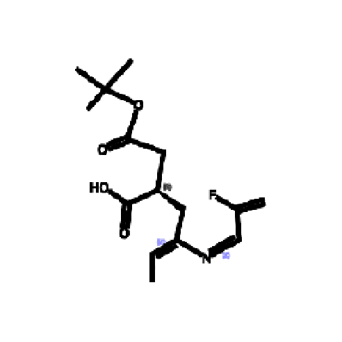 C=C(F)/C=N\C(=C/C)C[C@H](CC(=O)OC(C)(C)C)C(=O)O